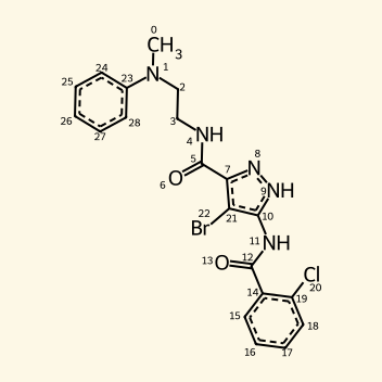 CN(CCNC(=O)c1n[nH]c(NC(=O)c2ccccc2Cl)c1Br)c1ccccc1